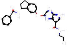 CCCNC(=O)c1c[nH]c2ncc(Oc3ccc4c(c3)[C@H](NC(=O)c3ccccc3)CC4)nc12